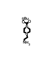 CCCCOC(=O)N1CCN(CCN)CC1